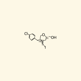 OC[C@@H]1CN(SI)[C@@H](Cc2ccc(Cl)cc2)CO1